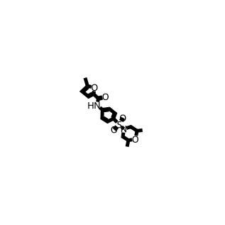 Cc1ccc(C(=O)Nc2ccc(S(=O)(=O)N3CC(C)OC(C)C3)cc2)o1